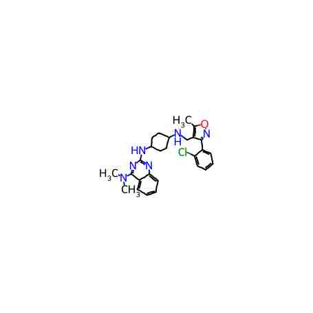 Cc1onc(-c2ccccc2Cl)c1CNC1CCC(Nc2nc(N(C)C)c3ccccc3n2)CC1